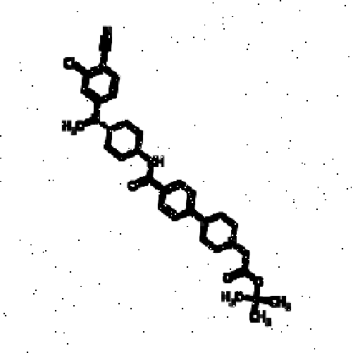 CN(c1ccc(C#N)c(Cl)c1)[C@H]1CC[C@H](NC(=O)c2ccc(N3CCN(CC(=O)OC(C)(C)C)CC3)cc2)CC1